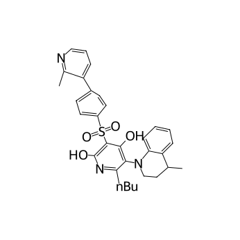 CCCCc1nc(O)c(S(=O)(=O)c2ccc(-c3cccnc3C)cc2)c(O)c1N1CCC(C)c2ccccc21